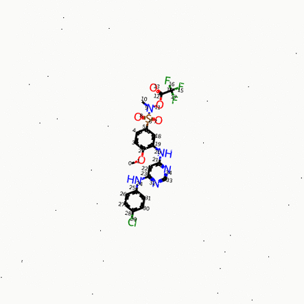 COc1ccc(S(=O)(=O)N(C)OC(=O)C(F)(F)F)cc1Nc1cc(Nc2ccc(Cl)cc2)ncn1